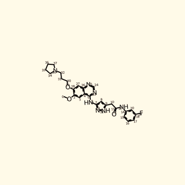 COc1cc2c(Nc3cc(CC(=O)Nc4cccc(F)c4)[nH]n3)ncnc2cc1OCCCN1[CH]CCC1